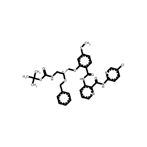 CSc1ccc(C(=O)Nc2cccnc2C(=O)Nc2ccc(Cl)cn2)c(OC[C@@H](CNC(=O)OC(C)(C)C)OCc2ccccc2)c1